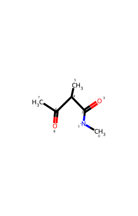 C[N]C(=O)C(C)C(C)=O